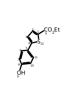 CCOC(=O)c1ccc(-c2ccc(O)cc2)s1